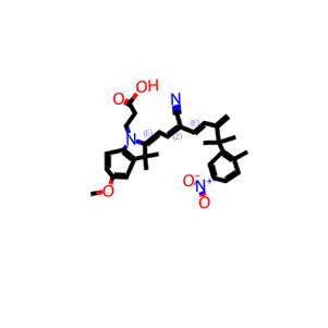 C=C(/C=C/C(C#N)=C/C=C1/N(CCC(=O)O)c2ccc(OC)cc2C1(C)C)C(C)(C)c1cc([N+](=O)[O-])ccc1C